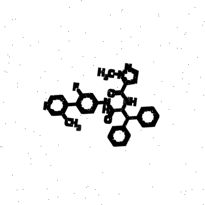 Cc1cnccc1-c1ccc(NC(=O)C(NC(=O)c2ccnn2C)C(c2ccccc2)c2ccccc2)cc1F